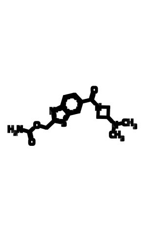 CN(C)C1CN(C(=O)c2ccc3nc(COC(N)=O)sc3c2)C1